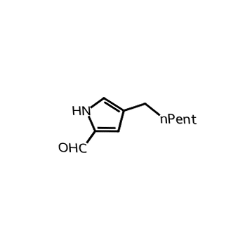 CCCCCCc1c[nH]c(C=O)c1